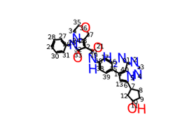 Nc1ncnn2c(C3CCC(O)C3)cc(-c3ccc(NC(=O)c4c5n(n(-c6ccccc6)c4=O)CCOC5)cc3)c12